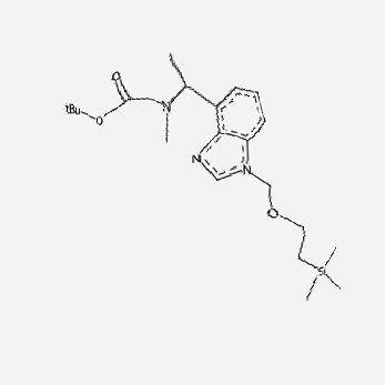 CC(c1cccc2c1ncn2COCC[Si](C)(C)C)N(C)C(=O)OC(C)(C)C